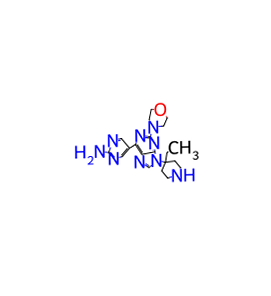 CCC1(n2cnc3c(-c4cnc(N)nc4)nc(N4CCOCC4)nc32)CCNCC1